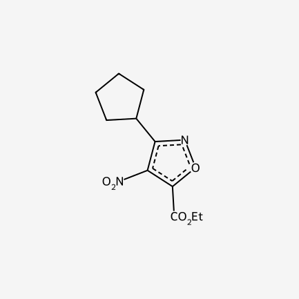 CCOC(=O)c1onc(C2CCCC2)c1[N+](=O)[O-]